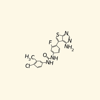 Cc1cc(NC(=O)Nc2ccc(-c3csc4ncnc(N)c34)c(F)c2)ccc1Cl